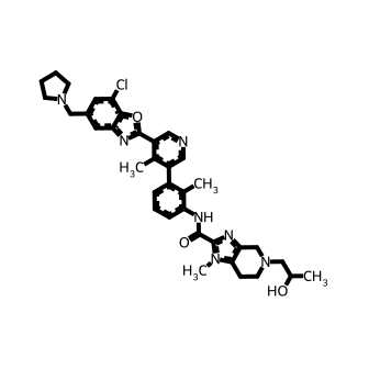 Cc1c(NC(=O)c2nc3c(n2C)CCN(CC(C)O)C3)cccc1-c1cncc(-c2nc3cc(CN4CCCC4)cc(Cl)c3o2)c1C